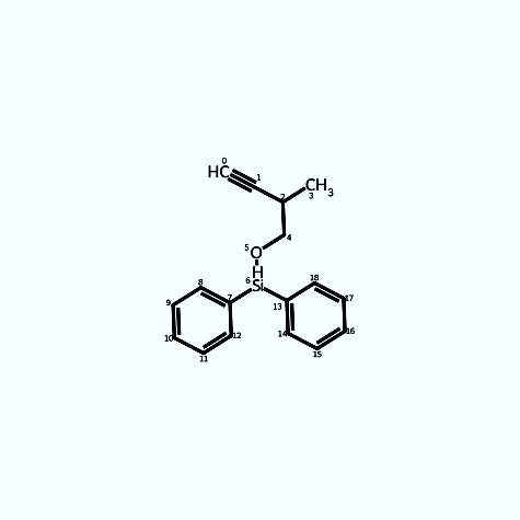 C#CC(C)CO[SiH](c1ccccc1)c1ccccc1